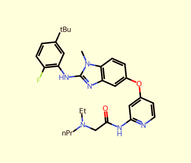 CCCN(CC)CC(=O)Nc1cc(Oc2ccc3c(c2)nc(Nc2cc(C(C)(C)C)ccc2F)n3C)ccn1